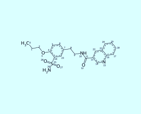 CCCOc1ccc(CCNC(=O)c2cnc3ccccc3c2)cc1S(N)(=O)=O